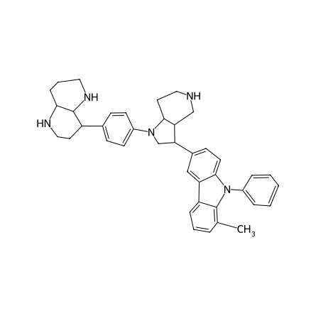 Cc1cccc2c3cc(C4CN(c5ccc(C6CCNC7CCCNC76)cc5)C5CCNCC45)ccc3n(-c3ccccc3)c12